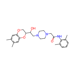 Cc1cc2c(cc1C)OC(C(O)CN1CCN(CC(=O)Nc3c(C)cccc3C)CC1)CO2